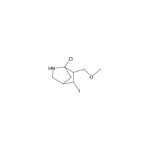 COCC1C(I)C2CNC1(Cl)C2